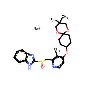 Cc1c(OC2CCC3(CC2)OCC(C)(C)CO3)ccnc1C[S+]([O-])c1nc2ccccc2[nH]1.[NaH]